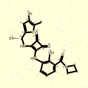 CC[C@@H](Nc1c(Nc2cccc(C(=O)N3CCC3)c2O)c(=O)c1=O)c1cc(C(C)C)c(C)o1